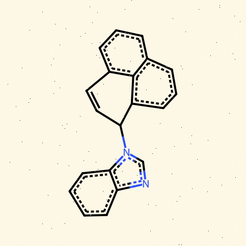 C1=CC(n2cnc3ccccc32)c2cccc3cccc1c23